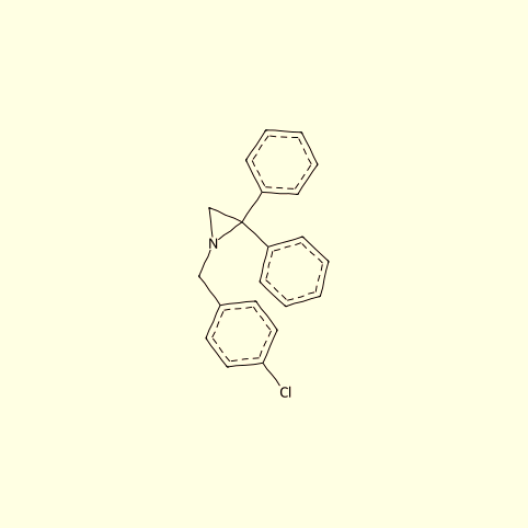 Clc1ccc(CN2CC2(c2ccccc2)c2ccccc2)cc1